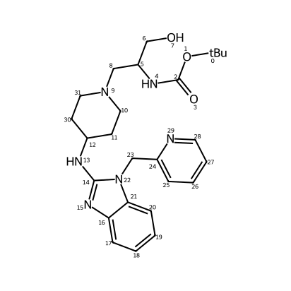 CC(C)(C)OC(=O)NC(CO)CN1CCC(Nc2nc3ccccc3n2Cc2ccccn2)CC1